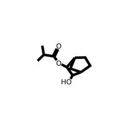 CC(C)C(=O)OC1C2CCC(C2)C1O